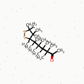 CC(=O)C(C)(C)C(C)(C)C(C)(C)C(C)(C)C1(C)SSC(C)(C)C1(C)C